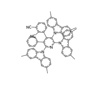 Cc1ccc2c(c1)c1cc(C)ccc1n2-c1nc(-n2c3ccc(C)cc3c3cc(C)ccc32)c(-n2c3ccc(C)cc3c3cc(C)ccc32)c(-c2cccc(C#N)c2C#N)c1-c1ccccc1